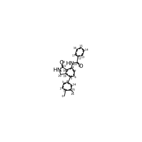 Cc1ccc(-c2ccc(NC(=O)c3ccccc3)c3c2CNC3=O)cc1C